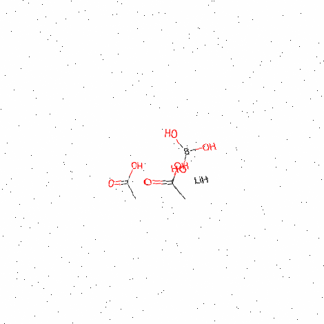 CC(=O)O.CC(=O)O.OB(O)O.[LiH]